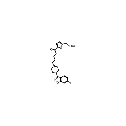 CC(=O)NCc1ccc(C(=O)CCCCN2CCC(c3noc4cc(F)ccc34)CC2)s1